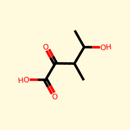 CC(O)C(C)C(=O)C(=O)O